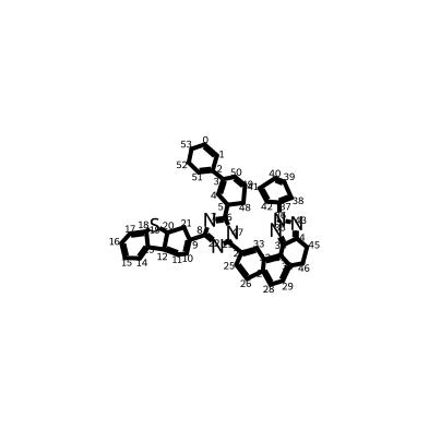 C1=CC(C2=CC(c3nc(C4=CC=C5c6ccccc6SC5C4)nc(-c4ccc5ccc6c(c5c4)-c4nn(-c5ccccc5)nc4CC6)n3)CC=C2)=CCC1